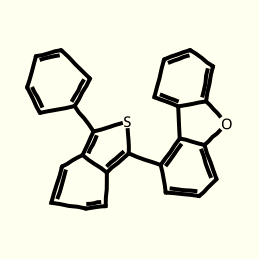 c1ccc(-c2sc(-c3cccc4oc5ccccc5c34)c3ccccc23)cc1